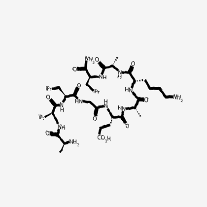 CC(C)C[C@H](NC(=O)[C@H](C)NC(=O)[C@H](CCCCN)NC(=O)[C@H](C)NC(=O)[C@H](CCC(=O)O)NC(=O)CNC(=O)[C@H](CC(C)C)NC(=O)[C@@H](NC(=O)[C@H](C)N)C(C)C)C(N)=O